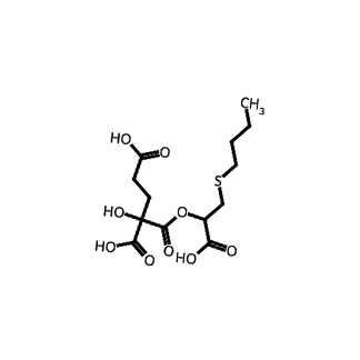 CCCCSCC(OC(=O)C(O)(CCC(=O)O)C(=O)O)C(=O)O